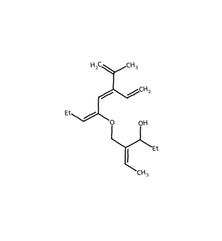 C=C/C(=C\C(=C/CC)OC/C(=C/C)C(O)CC)C(=C)C